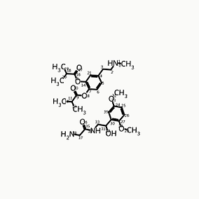 CNCCc1ccc(OC(=O)C(C)C)c(OC(=O)C(C)C)c1.COc1ccc(OC)c(C(O)CNC(=O)CN)c1